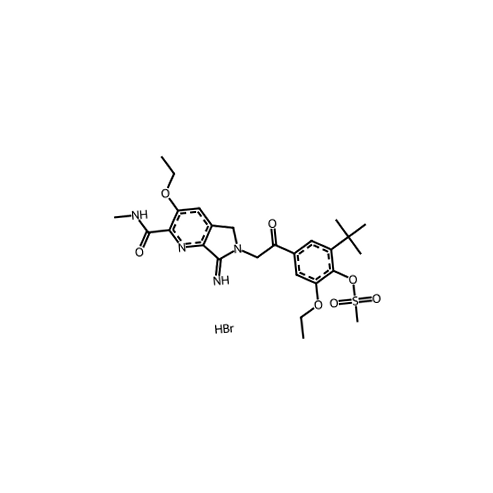 Br.CCOc1cc2c(nc1C(=O)NC)C(=N)N(CC(=O)c1cc(OCC)c(OS(C)(=O)=O)c(C(C)(C)C)c1)C2